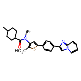 CC1CCC(C(=O)N(c2cc(-c3ccc(-c4cn5ccccc5n4)cc3)sc2C(=O)O)C(C)C)CC1